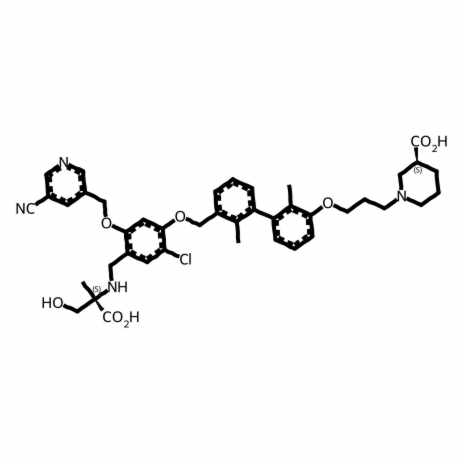 Cc1c(COc2cc(OCc3cncc(C#N)c3)c(CN[C@@](C)(CO)C(=O)O)cc2Cl)cccc1-c1cccc(OCCCN2CCC[C@H](C(=O)O)C2)c1C